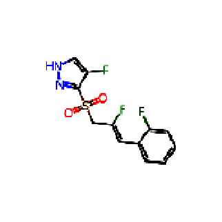 O=S(=O)(CC(F)=Cc1ccccc1F)c1n[nH]cc1F